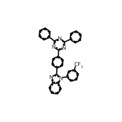 FC(F)(F)c1cccc(-n2c(-c3ccc(-c4nc(-c5ccccc5)nc(-c5ccccc5)n4)cc3)nc3ccccc32)c1